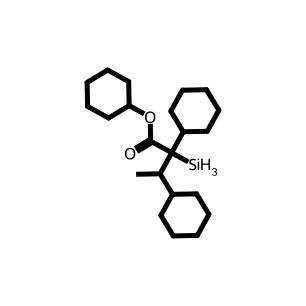 CC(C1CCCCC1)C([SiH3])(C(=O)OC1CCCCC1)C1CCCCC1